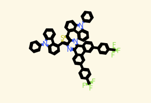 FC(F)(F)c1ccc(-c2ccc3c(c2)c2cc(-c4ccc(C(F)(F)F)cc4)ccc2c2nc4c(-c5cccc6c5c5ccccc5n6-c5ccccc5)sc(-c5cccc6c5c5ccccc5n6-c5ccccc5)c4nc32)cc1